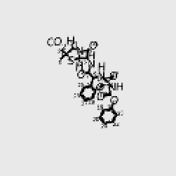 CC1(C)S[C@@H]2[C@H](NC(=O)C(NS(=O)(=O)NC(=O)Oc3ccccc3)c3ccccc3)C(=O)N2[C@H]1C(=O)O